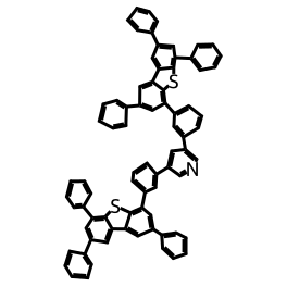 c1ccc(-c2cc(-c3ccccc3)c3sc4c(-c5cccc(-c6cncc(-c7cccc(-c8cc(-c9ccccc9)cc9c8sc8c(-c%10ccccc%10)cc(-c%10ccccc%10)cc89)c7)c6)c5)cc(-c5ccccc5)cc4c3c2)cc1